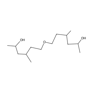 CC(O)CC(C)CCOCCC(C)CC(C)O